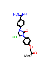 COC(=O)COc1ccc(N2CCN(c3ccc(C(=N)N)cc3)C2=O)cc1.Cl